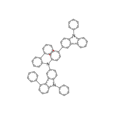 c1ccc(-c2ccccc2N(c2ccc(-c3ccc4c(c3)c3ccccc3n4-c3ccccc3)cc2)c2ccc3c(c2)c2c(-c4ccccc4)cccc2n3-c2ccccc2)cc1